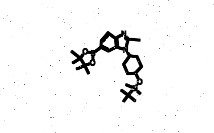 Cc1nc2ccc(B3OC(C)(C)C(C)(C)O3)cc2n1C1CCC(O[Si](C)(C)C(C)(C)C)CC1